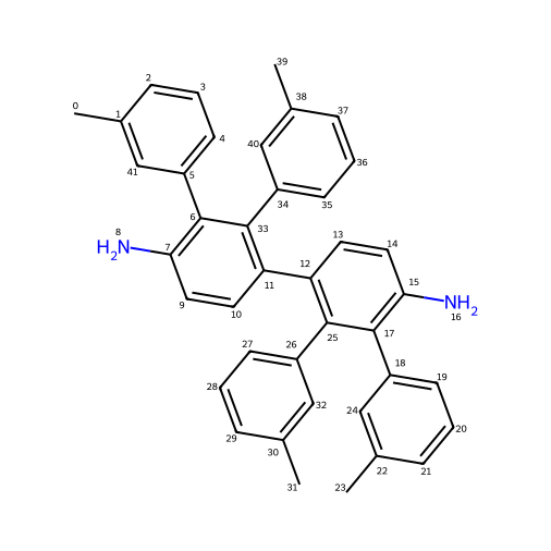 Cc1cccc(-c2c(N)ccc(-c3ccc(N)c(-c4cccc(C)c4)c3-c3cccc(C)c3)c2-c2cccc(C)c2)c1